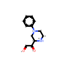 O=CC(=O)C1CN(c2ccccc2)CCN1